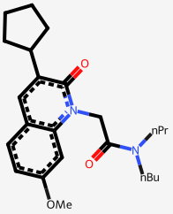 CCCCN(CCC)C(=O)Cn1c(=O)c(C2CCCC2)cc2ccc(OC)cc21